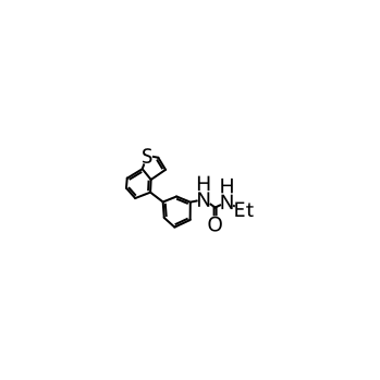 CCNC(=O)Nc1cccc(-c2cccc3sccc23)c1